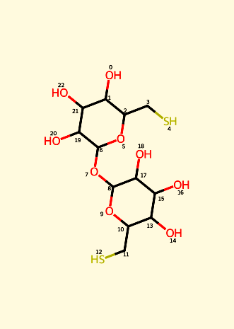 OC1C(CS)OC(OC2OC(CS)C(O)C(O)C2O)C(O)C1O